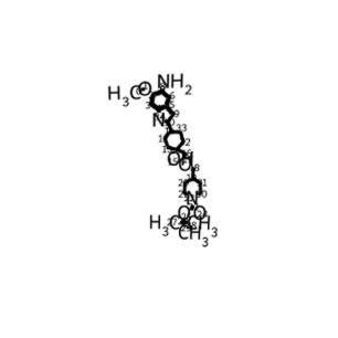 COc1cc2c(cc1N)=CC(C1CCC(O)(COCC3CCN(C(=O)OC(C)(C)C)CC3)CC1)N=2